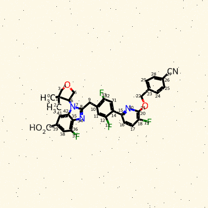 CC1(C)COCC1n1c(Cc2cc(F)c(-c3ccc(F)c(OCc4ccc(C#N)cc4)n3)cc2F)nc2c(F)cc(C(=O)O)cc21